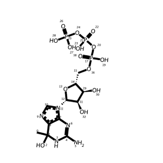 CC1(O)NC(N)=Nc2c1ncn2[C@@H]1O[C@H](COP(=O)(O)OP(=O)(O)OP(=O)(O)O)[C@@H](O)[C@H]1O